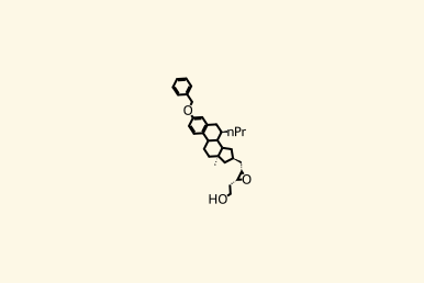 CCC[C@@H]1Cc2cc(OCc3ccccc3)ccc2C2CC[C@]3(C)C[C@H](C[C@@H]4O[C@@H]4CCO)CC3C21